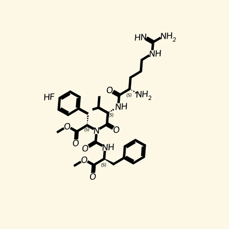 COC(=O)[C@H](Cc1ccccc1)NC(=O)N(C(=O)[C@@H](NC(=O)[C@@H](N)CCCNC(=N)N)C(C)C)[C@@H](Cc1ccccc1)C(=O)OC.F